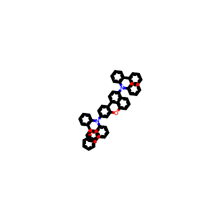 c1ccc(-c2ccccc2N(c2ccccc2)c2ccc3c4c(cccc24)Oc2cc(N(c4ccccc4-c4ccccc4)c4cccc5c4oc4ccccc45)ccc2-3)cc1